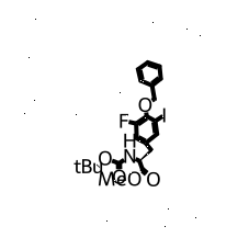 COC(=O)[C@H](Cc1cc(F)c(OCc2ccccc2)c(I)c1)NC(=O)OC(C)(C)C